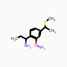 CCC(N)c1ccc(C(C)SC)cc1ON